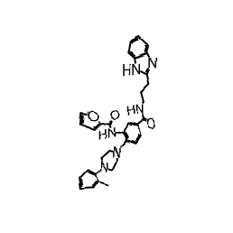 Cc1ccccc1N1CCN(c2ccc(C(=O)NCCCc3nc4ccccc4[nH]3)cc2NC(=O)c2ccco2)CC1